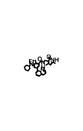 CCN(c1cc(-c2cccc3cccnc23)cc(C(=O)NCc2c(C)cc(C)[nH]c2=O)c1C)C1CCCCC1